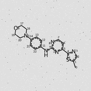 Cc1cnc(-c2ccnc(Nc3ccc(N4CCOCC4)cc3)n2)s1